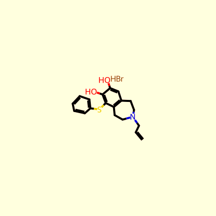 Br.C=CCN1CCc2cc(O)c(O)c(Sc3ccccc3)c2CC1